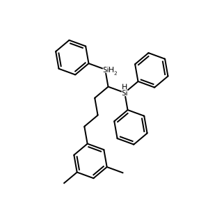 Cc1cc(C)cc(CCCC([SiH2]c2ccccc2)[SiH](c2ccccc2)c2ccccc2)c1